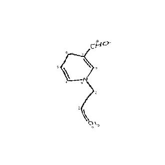 C=CCN1C=CCC([C]=O)=C1